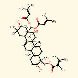 CC(C)=CC(=O)OC[C@@]12C(CC(C)(C)[C@@H](O)[C@@H]1OC(=O)C=C(C)C)C1=CCC3[C@@]4(C)CC[C@H](O)[C@](C)(COC(=O)C(C)=C(C)C)C4CC[C@@]3(C)[C@]1(C)C[C@H]2O